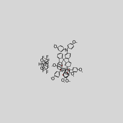 COc1ccc(N(c2ccc(OC)cc2)c2ccc3c(c2)C2(C4=CC(N(c5ccc(OC)cc5)c5ccc(OC)cc5)(N(c5ccc(OC)cc5)c5ccc(OC)cc5)CC=C43)c3ccccc3-c3ccc(N(c4ccc(OC)cc4)c4ccc(OC)cc4)cc32)cc1.O=S(=O)(NS(=O)(=O)C(F)(F)F)C(F)(F)F